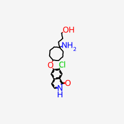 NC1(CCCO)CCCC(Oc2cc3cc[nH]c(=O)c3cc2Cl)CCC1